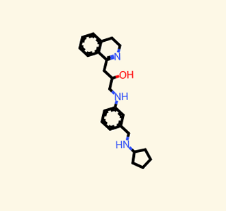 OC(CNc1cccc(CNC2CCCC2)c1)CC1=NCCc2ccccc21